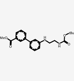 COC(=O)c1cccc(-c2cccc(NCCNC(=O)OC(C)(C)C)c2)c1